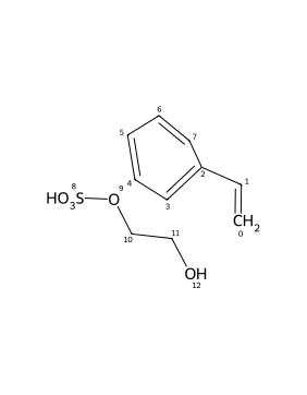 C=Cc1ccccc1.O=S(=O)(O)OCCO